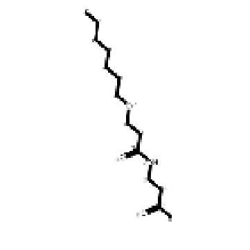 CCCCCCCOCCC(=O)NCCC(C)=O